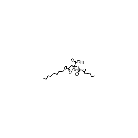 CCCCCCCCOC(=O)CC(O)(CC(=O)OCCCC)C(=O)O